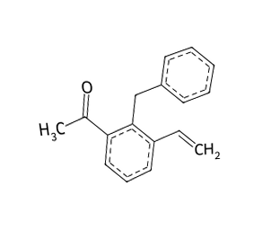 C=Cc1cccc(C(C)=O)c1Cc1ccccc1